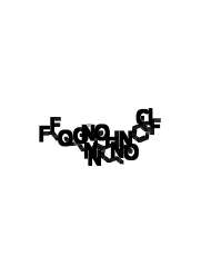 CC1Cc2nn3c(c2CN1C(=O)Nc1ccc(F)c(Cl)c1)C(=O)N(C)OC(COCC(F)F)C3